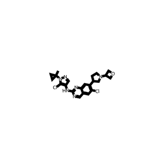 CC1(n2ncc(Nc3ncc4cc(Cl)c(C5CCN(C6COC6)C5)cc4n3)c2Cl)CC1